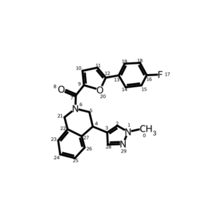 Cn1cc(C2CN(C(=O)c3ccc(-c4ccc(F)cc4)o3)Cc3ccccc32)cn1